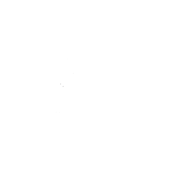 O=c1[nH]c(=O)c2ccsc2o1